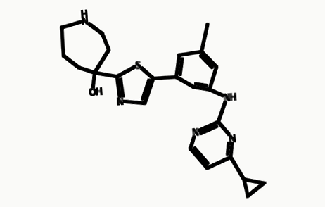 Cc1cc(Nc2nccc(C3CC3)n2)cc(-c2cnc(C3(O)CCCNCC3)s2)c1